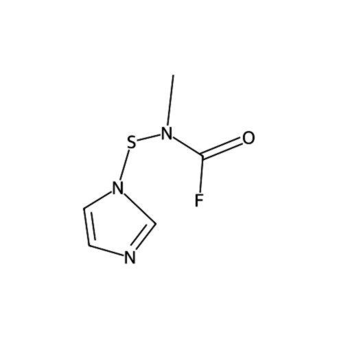 CN(Sn1ccnc1)C(=O)F